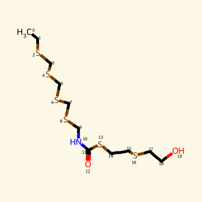 CCSCSCSCSCNC(=O)SCCSCCO